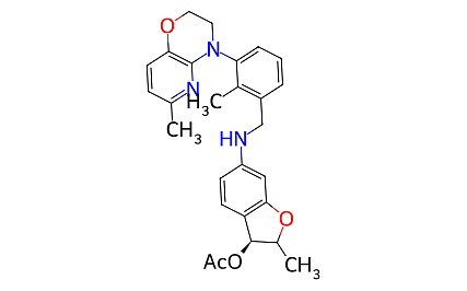 CC(=O)O[C@H]1c2ccc(NCc3cccc(N4CCOc5ccc(C)nc54)c3C)cc2OC1C